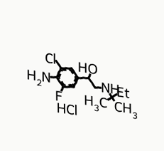 CCC(C)(C)NCC(O)c1cc(F)c(N)c(Cl)c1.Cl